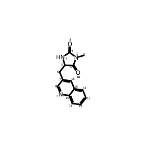 CN1C(=O)NC(Cc2cnc3ccccc3c2)C1=O